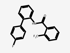 O=C(Nc1ccccc1-c1ccc(F)cc1)c1ccccc1C(F)(F)F